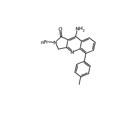 CCCN1Cc2nc3c(-c4ccc(C)cc4)cccc3c(N)c2C1=O